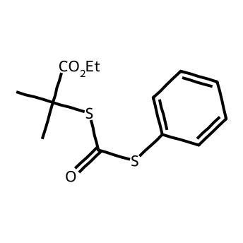 CCOC(=O)C(C)(C)SC(=O)Sc1ccccc1